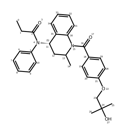 CCC(=O)N(c1ccccc1)[C@H]1CC(C)N(C(=O)c2ccc(OCC(C)(C)O)cc2)c2ccccc21